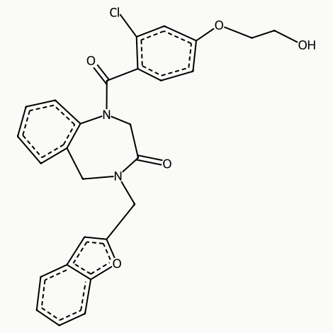 O=C1CN(C(=O)c2ccc(OCCO)cc2Cl)c2ccccc2CN1Cc1cc2ccccc2o1